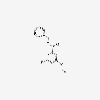 O=C(OCc1ccccc1)c1cc(F)cc(OCI)c1